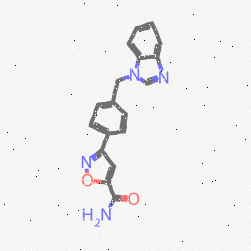 NC(=O)c1cc(-c2ccc(Cn3cnc4ccccc43)cc2)no1